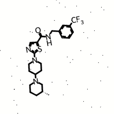 C[C@@H]1CCCN(C2CCN(c3ncc(C(=O)NCc4cccc(C(F)(F)F)c4)s3)CC2)C1